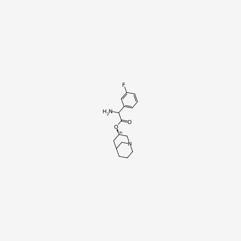 NC(C(=O)O[C@@H]1CC2CCCN(C2)C1)c1cccc(F)c1